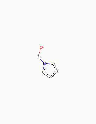 [O]Cn1cccc1